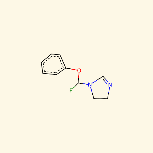 FC(Oc1ccccc1)N1C=NCC1